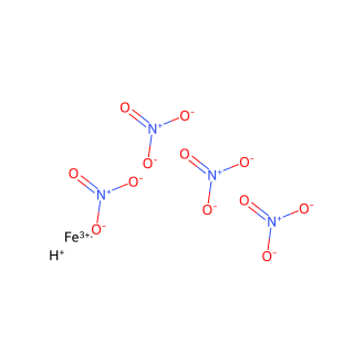 O=[N+]([O-])[O-].O=[N+]([O-])[O-].O=[N+]([O-])[O-].O=[N+]([O-])[O-].[Fe+3].[H+]